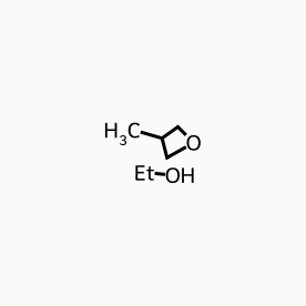 CC1COC1.CCO